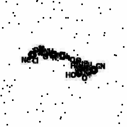 COc1cc(C#N)ccc1[C@H](C)NC(=O)[C@@H]1C[C@@H](O)CN1C(=O)[C@@H](NC(=O)COCCN1CCN(c2ccc(C(=O)N[C@H]3C(C)(C)[C@H](Oc4ccc(C#N)c(Cl)c4)C3(C)C)cn2)CC1)C(C)(C)C